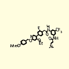 CCOc1cc(OCc2ccc(OC)cc2)ncc1-c1ccc(CC(=O)Nc2cc(NC(=O)C=CN(C)C)cc(C(F)(F)F)c2)c(F)c1